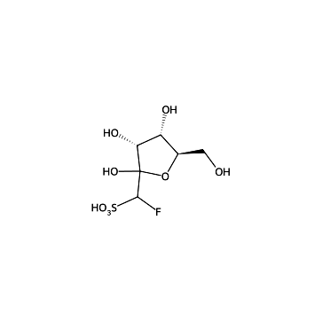 O=S(=O)(O)C(F)C1(O)O[C@H](CO)[C@@H](O)[C@H]1O